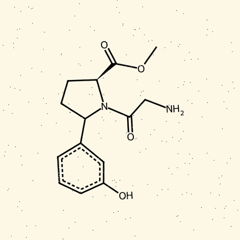 COC(=O)[C@@H]1CCC(c2cccc(O)c2)N1C(=O)CN